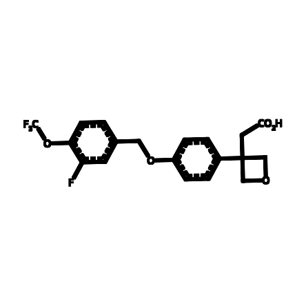 O=C(O)CC1(c2ccc(OCc3ccc(OC(F)(F)F)c(F)c3)cc2)COC1